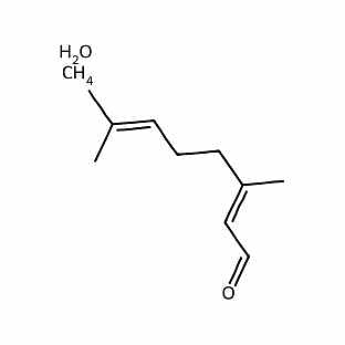 C.CC(C)=CCCC(C)=CC=O.O